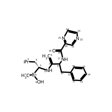 C=C(N[C@@H](CC(C)C)B(C)O)C(Cc1ccccc1)NC(=O)c1cnccn1